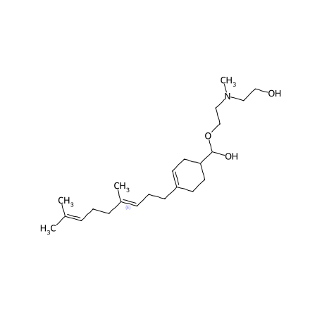 CC(C)=CCC/C(C)=C/CCC1=CCC(C(O)OCCN(C)CCO)CC1